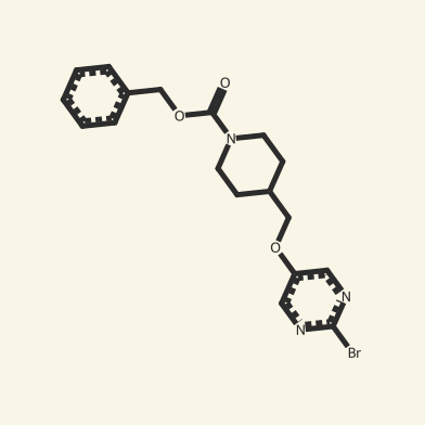 O=C(OCc1ccccc1)N1CCC(COc2cnc(Br)nc2)CC1